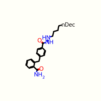 CCCCCCCCCCCCCCNNC(=O)c1ccc(Cc2ccccc2C(N)=O)cc1